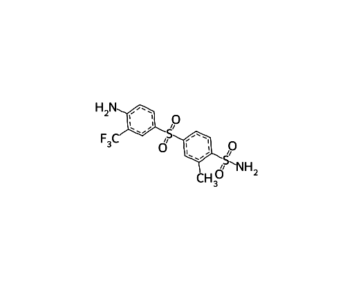 Cc1cc(S(=O)(=O)c2ccc(N)c(C(F)(F)F)c2)ccc1S(N)(=O)=O